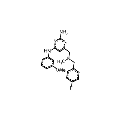 COc1cccc(Nc2cc(CN(C)Cc3ccc(F)cc3)nc(N)n2)c1